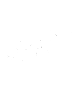 CCCCN1CCC(N(C)C(=O)C(C)Oc2c(C)c(C)c(N)c(C)c2C)CC1